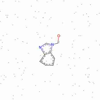 [O]Cn1cnc2ccccc21